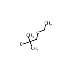 [CH2]COCC(C)(C)Br